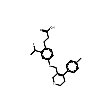 Cc1ccc(C2=C(COc3ccc(CCC(=O)O)c(C(C)F)c3)COCC2)cc1